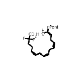 CCCCCC(O)=CC/C=C\C/C=C\C/C=C\CCC(F)(F)C(=O)O